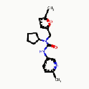 Cc1ccc(NC(=O)N(Cc2ccc(C)o2)C2CCCC2)cn1